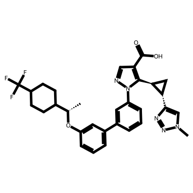 C[C@H](Oc1cccc(-c2cccc(-n3ncc(C(=O)O)c3[C@H]3C[C@@H]3c3cn(C)nn3)c2)c1)C1CCC(C(F)(F)F)CC1